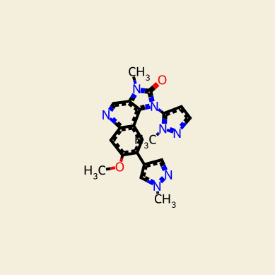 COc1cc2ncc3c(c2cc1-c1cnn(C)c1)n(-c1ccnn1C)c(=O)n3C